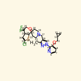 Cc1nn(-c2ncccc2OCC2CC2)cc1CN1CCC2(CC1)OCC(F)(F)C1C=C(Cl)SC12